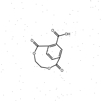 O=C1OCCOC(=O)c2ccc1cc2C(=O)O